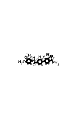 COc1cc(NC(=O)C2CCC(c3ccc(C(N)=O)c([N+](=O)[O-])c3C)CC2)ccc1C